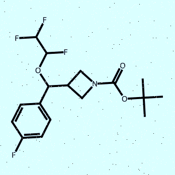 CC(C)(C)OC(=O)N1CC(C(OC(F)C(F)F)c2ccc(F)cc2)C1